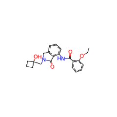 CCOc1ccccc1C(=O)Nc1cccc2c1C(=O)N(CC1(O)CCC1)C2